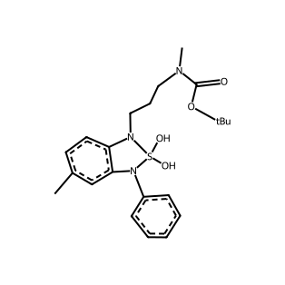 Cc1ccc2c(c1)N(c1ccccc1)S(O)(O)N2CCCN(C)C(=O)OC(C)(C)C